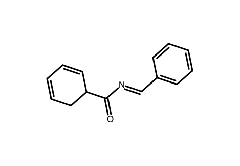 O=C(N=Cc1ccccc1)C1C=CC=CC1